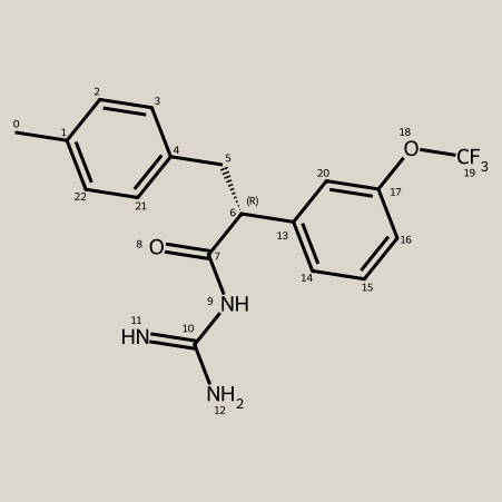 Cc1ccc(C[C@@H](C(=O)NC(=N)N)c2cccc(OC(F)(F)F)c2)cc1